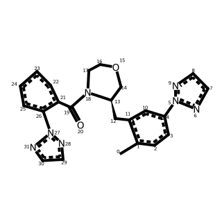 Cc1ccc(-n2nccn2)cc1C[C@@H]1COCCN1C(=O)c1ccccc1-n1nccn1